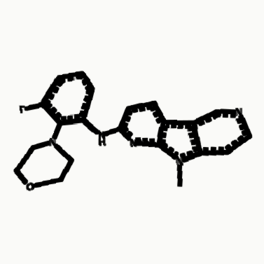 Cn1c2ccncc2c2ccc(Nc3cccc(F)c3N3CCOCC3)nc21